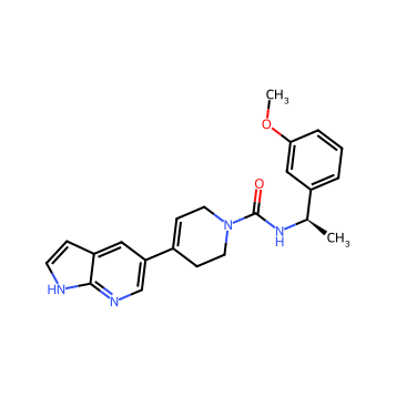 COc1cccc([C@@H](C)NC(=O)N2CC=C(c3cnc4[nH]ccc4c3)CC2)c1